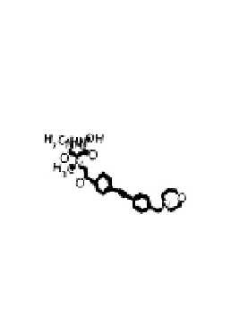 CNC(=O)C(C(=O)NO)N(C)CC(=O)c1ccc(C#Cc2ccc(CN3CCCOCC3)cc2)cc1